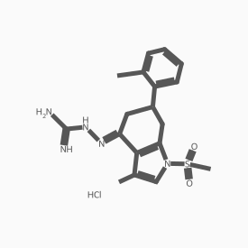 Cc1ccccc1C1C/C(=N\NC(=N)N)c2c(C)cn(S(C)(=O)=O)c2C1.Cl